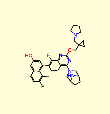 Cc1c(F)ccc2cc(O)cc(-c3ccc4c(N5CC6CCC(C5)N6)nc(OCC5(CN6CCCC6)CC5)nc4c3F)c12